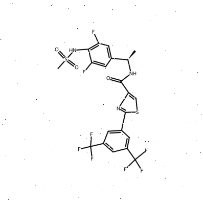 C[C@@H](NC(=O)c1csc(-c2cc(C(F)(F)F)cc(C(F)(F)F)c2)n1)c1cc(F)c(NS(C)(=O)=O)c(F)c1